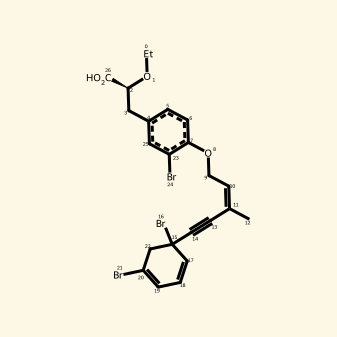 CCO[C@@H](Cc1ccc(OCC=C(C)C#CC2(Br)C=CC=C(Br)C2)c(Br)c1)C(=O)O